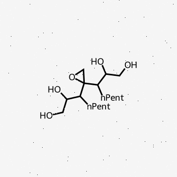 CCCCCC(C(O)CO)C1(C(CCCCC)C(O)CO)CO1